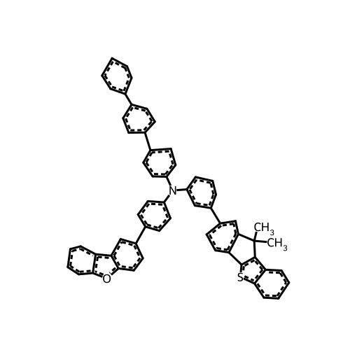 CC1(C)c2cc(-c3cccc(N(c4ccc(-c5ccc(-c6ccccc6)cc5)cc4)c4ccc(-c5ccc6oc7ccccc7c6c5)cc4)c3)ccc2-c2sc3ccccc3c21